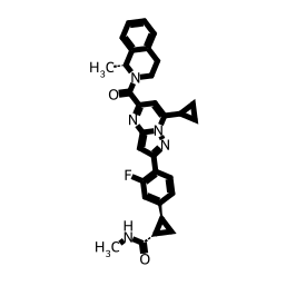 CNC(=O)[C@H]1C[C@@H]1c1ccc(-c2cc3nc(C(=O)N4CCc5ccccc5[C@H]4C)cc(C4CC4)n3n2)c(F)c1